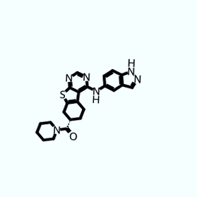 O=C([C@H]1CCc2c(sc3ncnc(Nc4ccc5[nH]ncc5c4)c23)C1)N1CCCCC1